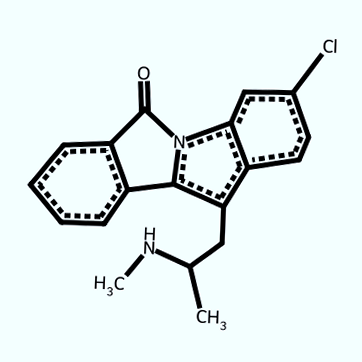 CNC(C)Cc1c2n(c3cc(Cl)ccc13)C(=O)c1ccccc1-2